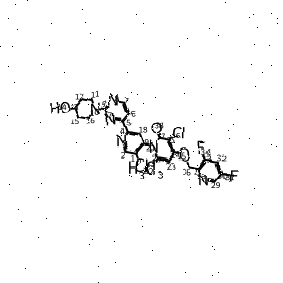 Cc1cnc(-c2ccnc(N3CCC(O)CC3)n2)cc1-n1c(C)cc(OCc2ncc(F)cc2F)c(Cl)c1=O